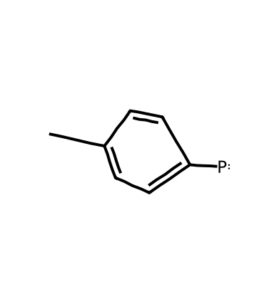 Cc1ccc([P])cc1